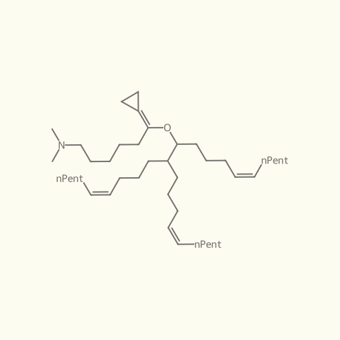 CCCCC/C=C\CCCC(CCC/C=C\CCCCC)C(CCC/C=C\CCCCC)OC(CCCCCN(C)C)=C1CC1